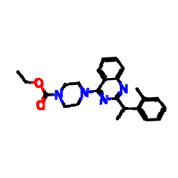 CCOC(=O)N1CCN(c2nc(C(C)c3ccccc3C)nc3ccccc23)CC1